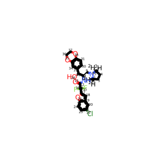 [2H]C1([2H])CCC([2H])([2H])N1C[C@@H](NC(=O)C(F)(F)c1cc2cc(Cl)ccc2o1)[C@H](O)c1ccc2c(c1)OCCO2